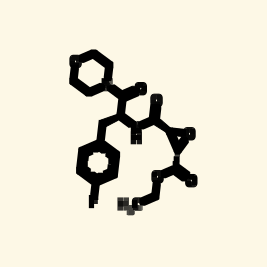 CCOC(=O)[C@H]1O[C@@H]1C(=O)N[C@@H](Cc1ccc(F)cc1)C(=O)N1CCOCC1